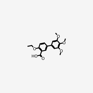 CCOc1ccc(-c2cc(OC)c(OC)c(OC)c2)cc1C(=O)O